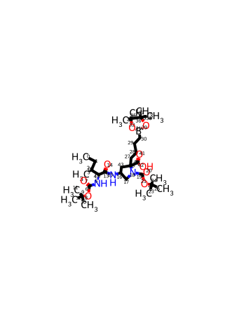 CC[C@H](C)[C@H](NC(=O)OC(C)(C)C)C(=O)NC1CN(C(=O)OC(C)(C)C)C(CCCCB2OC(C)(C)C(C)(C)O2)(C(=O)O)C1